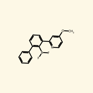 COc1ccnc(-c2cccc(-c3ccccc3)c2B(F)F)c1